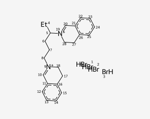 Br.Br.Br.Br.CCC(CCC[N+]1=Cc2ccccc2CC1)[N+]1=Cc2ccccc2CC1